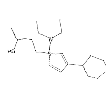 CCN(CC)S1(CCC(C)O)C=CC(C2CCCCC2)=C1